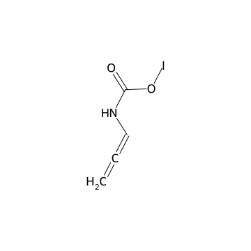 C=C=CNC(=O)OI